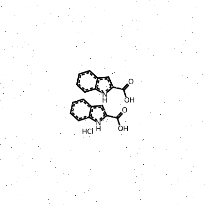 Cl.O=C(O)c1cc2ccccc2[nH]1.O=C(O)c1cc2ccccc2[nH]1